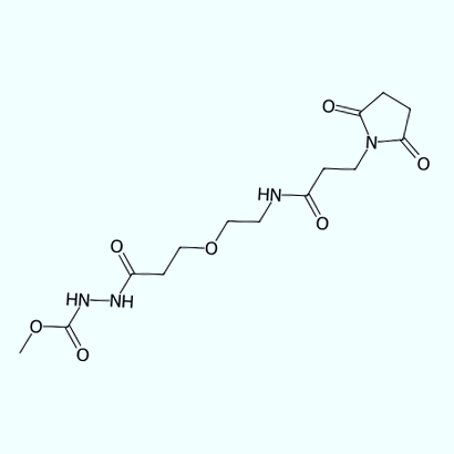 COC(=O)NNC(=O)CCOCCNC(=O)CCN1C(=O)CCC1=O